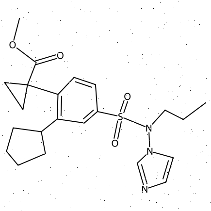 CCCN(n1ccnc1)S(=O)(=O)c1ccc(C2(C(=O)OC)CC2)c(C2CCCC2)c1